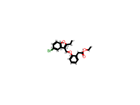 CCOC(=O)Cc1ccccc1OCc1c(CC)oc2ccc(Br)cc12